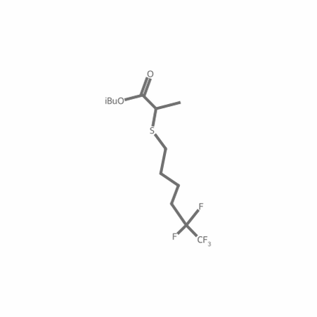 CC(C)COC(=O)C(C)SCCCCC(F)(F)C(F)(F)F